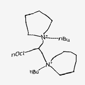 CCCCCCCCC([N+]1(CCCC)CCCC1)[N+]1(CCCC)CCCC1